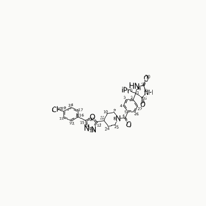 CC(C)C1(c2ccc(C(=O)N3CCC(c4nnc(-c5ccc(Cl)cc5)o4)CC3)cc2)NC(=O)NC1=O